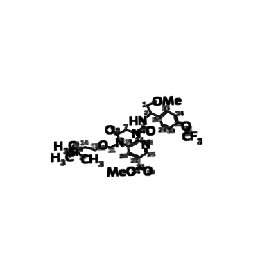 COCC(NC(=O)N1CC(=O)N(COCC[Si](C)(C)C)c2cc(C(=O)OC)cnc21)c1ccc(OC(F)(F)F)cc1